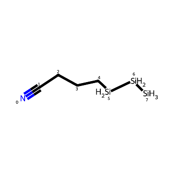 N#CCCC[SiH2][SiH2][SiH3]